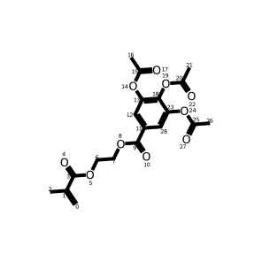 C=C(C)C(=O)OCCOC(=O)c1cc(OC(C)=O)c(OC(C)=O)c(OC(C)=O)c1